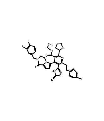 CCOC(=O)c1c(C2CCCN2)nc(CCc2ccc(F)cc2)c(-c2noc(=O)[nH]2)c1-c1ccc2n1CCN(Cc1ccc(F)c(F)c1)C2=O